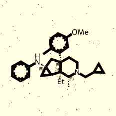 CC[C@]12C3C[C@@]3(Nc3ccccc3)C[C@@]1(c1cc(OC)ccc1C)CCN(CC1CC1)[C@@H]2C